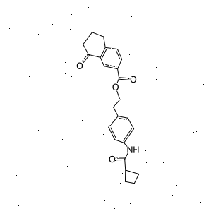 O=C(OCCc1ccc(NC(=O)C2CCC2)cc1)c1ccc2c(c1)C(=O)CCC2